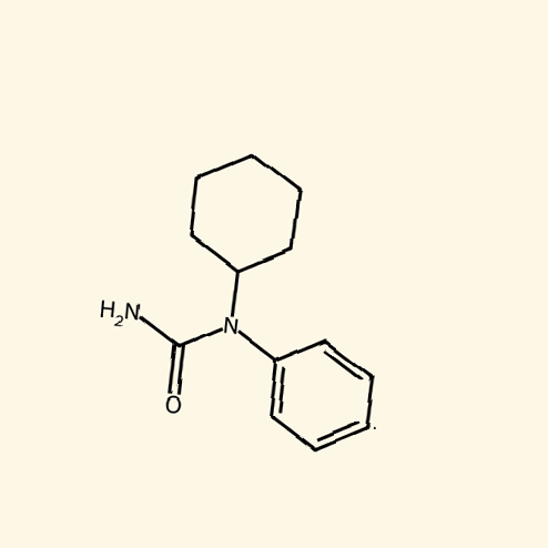 NC(=O)N(c1cc[c]cc1)C1CCCCC1